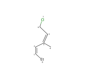 CC/C=C\C(C)=C/CCl